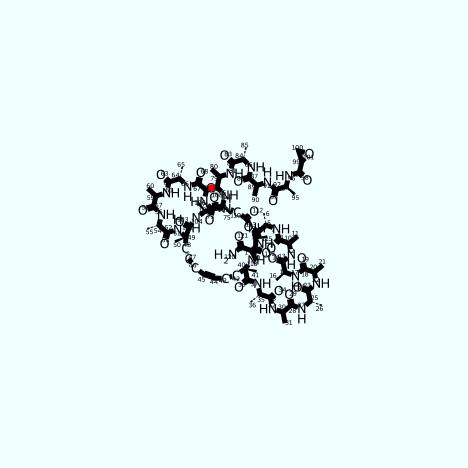 CC(NC(=O)[C@H](C)NC(=O)C(C)NC(=O)[C@H](C)NC(=O)C(C)NC(=O)[C@H](C)NC(=O)C(C)NC(=O)[C@H](C)NC(=O)[C@]1(C)CC/C=C\CCC[C@](C)(NC(=O)[C@H](C)NC(=O)C(C)NC(=O)[C@H](C)NC(=O)C(C)NC(=O)[C@H](C)NC(=O)C(C)NC(=O)[C@H](C)NC(=O)C(C)NC(=O)[C@H](C)NC(=O)C2CO2)C(=O)N[C@@H](C)C(=O)NCC(=O)N[C@@H](C)C(=O)N1)C(N)=O